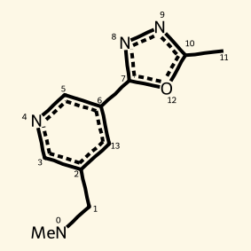 CNCc1cncc(-c2nnc(C)o2)c1